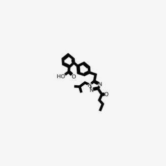 CCCC(=O)c1nc(Cc2ccc(-c3ccccc3C(=O)O)cc2)n(CC(C)C)n1